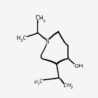 CC(C)C1CN(C(C)C)CCC1O